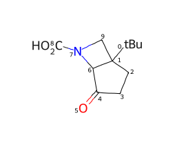 CC(C)(C)C12CCC(=O)C1N(C(=O)O)C2